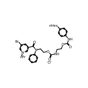 CCCCCCc1ccc(NC(=O)OCCNC(=O)OCCN(C(=O)c2cc(Br)c[n+](CCC)c2)c2ccccc2)cc1.[Cl-]